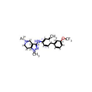 C=C/C=C(\C=C/Cc1cccc(OC(F)(F)F)c1)Nc1nn(C)c2c1CN(C(C)=O)CC2